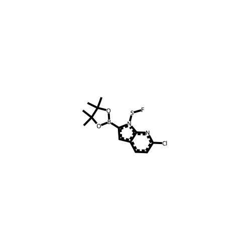 CC1(C)OB(c2cc3ccc(Cl)nc3n2SF)OC1(C)C